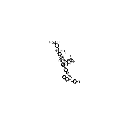 C#CC1(O)CCC(CNc2ncc(S(=O)(=O)NC(=O)c3ccc(N4CCC5(CC4)CC(N4CCN(Cc6ccc(Cl)cc6)C[C@H]4c4ccccc4C(C)C)C5)cc3Oc3cc4c(F)c[nH]c4nc3OC)cc2[N+](=O)[O-])CC1